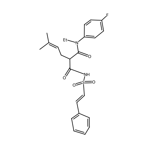 CCN(C(=O)C(CC=C(C)C)C(=O)NS(=O)(=O)C=Cc1ccccc1)c1ccc(F)cc1